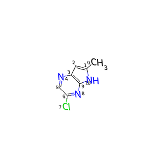 Cc1cc2ncc(Cl)nc2[nH]1